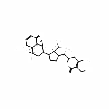 CC(=O)OCC1=C(C)CC([C@@H](C)C2CCC(C3C[C@H]4O[C@]45[C@H](OC(C)=O)C=CC(=O)[C@@]54CC34)[C@]2(C)[C@@H](C)OC(C)=O)OC1=O